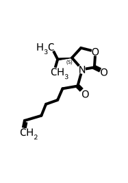 C=CCCCCC(=O)N1C(=O)OC[C@@H]1C(C)C